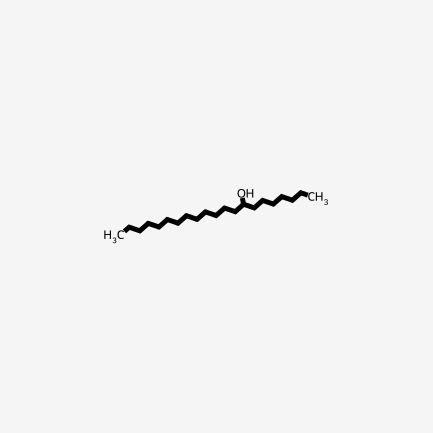 CCCCCCCCCCCCCC(O)CCCCCCC